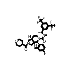 Cc1cc(F)ccc1[C@H]1[C@@H]2CN(C(=O)C3CCOCC3)C[C@H]2CCN1C(=O)N(C)[C@H](C)c1cc(C(F)(F)F)cc(C(F)(F)F)c1